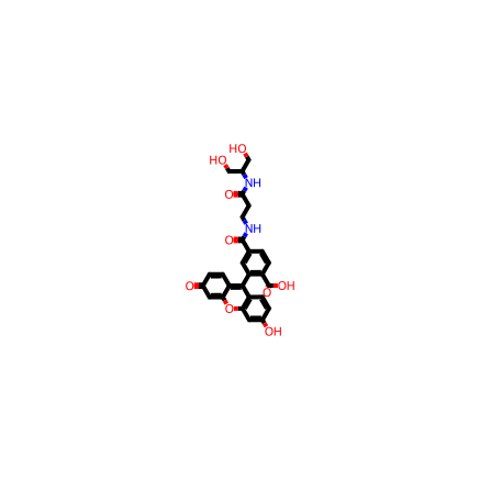 O=C(CCNC(=O)c1ccc(C(=O)O)c(-c2c3ccc(=O)cc-3oc3cc(O)ccc23)c1)NC(CO)CO